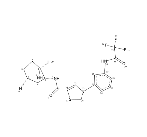 O=C(N[C@@H]1C[C@H]2CC[C@@H]1N2)C1=CN(c2cccc(NC(=O)C(F)(F)F)c2)CS1